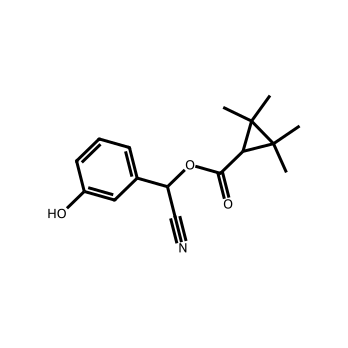 CC1(C)C(C(=O)OC(C#N)c2cccc(O)c2)C1(C)C